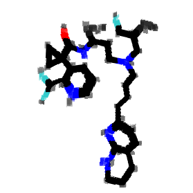 COC(CF)CN(CCCCc1ccc2c(n1)NCCC2)CCC(NC(=O)C1(c2cccnc2C(F)F)CC1)C(=O)O